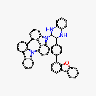 c1ccc2c(c1)NC(c1ccc(-c3cccc4c3oc3ccccc34)cc1)C(n1c3cccc4c5cccc6c7ccccc7n(c7cccc1c7c43)c56)N2